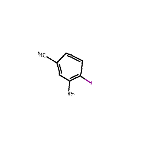 C[C](C)c1cc(C#N)ccc1I